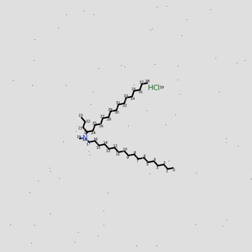 CCCCCCCCCCCCCCCCCCN(C)C(CCC)CCCCCCCCCCCCCCC.Cl